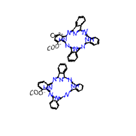 O=C([O-])c1cccc2c3nc4nc(nc5[nH]c(nc6nc(nc([nH]3)c12)-c1ccccc1-6)c1ccccc51)-c1ccccc1-4.O=C([O-])c1cccc2c3nc4nc(nc5[nH]c(nc6nc(nc([nH]3)c12)-c1ccccc1-6)c1ccccc51)-c1ccccc1-4.[Cu+2]